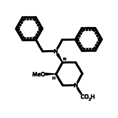 CO[C@@H]1CN(C(=O)O)CC[C@@H]1N(Cc1ccccc1)Cc1ccccc1